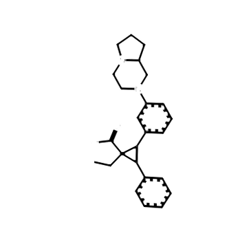 CCC1(C(=O)O)C(c2ccccc2)C1c1cccc(N2CCN3CCCC3C2)c1